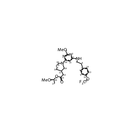 COc1nc(NCCc2ccc(OC(F)(F)F)cc2)cc(N2CCCC(CC(=O)OC(C)OC)C2)n1